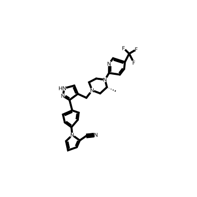 C[C@@H]1CN(Cc2c[nH]nc2-c2ccc(-n3cccc3C#N)cc2)CCN1c1ccc(C(F)(F)F)cn1